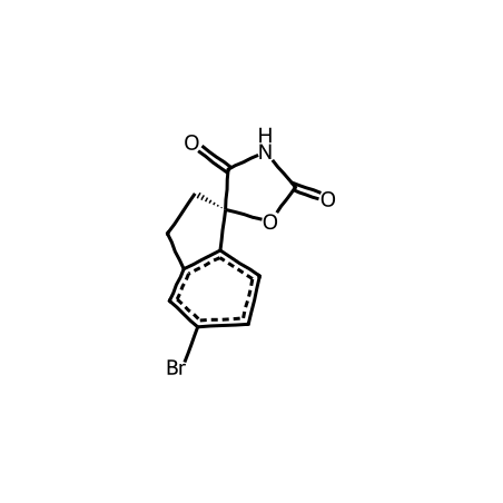 O=C1NC(=O)[C@@]2(CCc3cc(Br)ccc32)O1